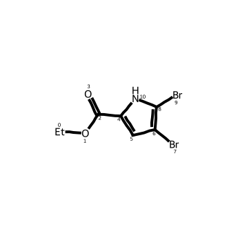 CCOC(=O)c1cc(Br)c(Br)[nH]1